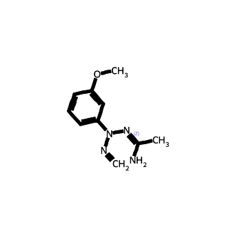 C=NN(/N=C(/C)N)c1cccc(OC)c1